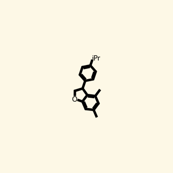 Cc1cc(C)c2c(c1)OCC2c1ccc(C(C)C)cc1